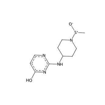 C[S+]([O-])N1CCC(Nc2nccc(O)n2)CC1